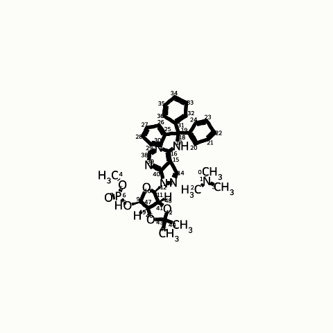 CN(C)C.CO[PH](=O)O[C@H]1O[C@@H](n2ncc3c(NC(c4ccccc4)(c4ccccc4)c4ccccc4)ncnc32)[C@@H]2OC(C)(C)O[C@@H]12